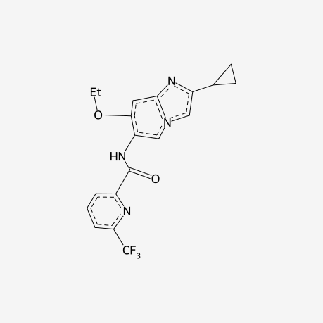 CCOc1cc2nc(C3CC3)cn2cc1NC(=O)c1cccc(C(F)(F)F)n1